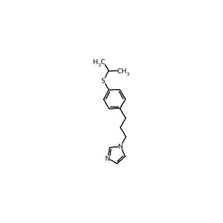 CC(C)Sc1ccc(CCCn2ccnc2)cc1